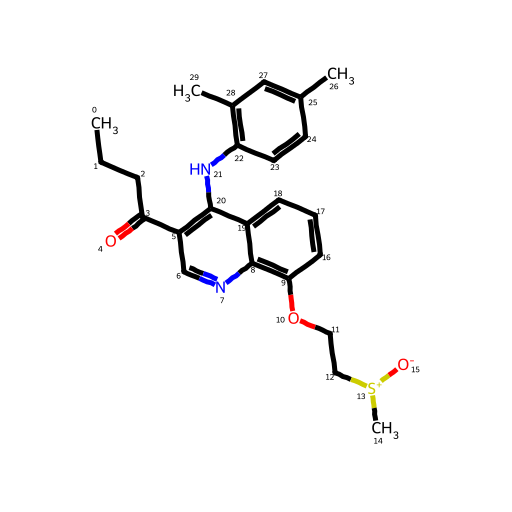 CCCC(=O)c1cnc2c(OCC[S+](C)[O-])cccc2c1Nc1ccc(C)cc1C